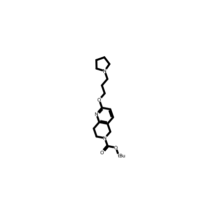 CC(C)(C)OC(=O)N1CCc2nc(OCCCN3CCCC3)ccc2C1